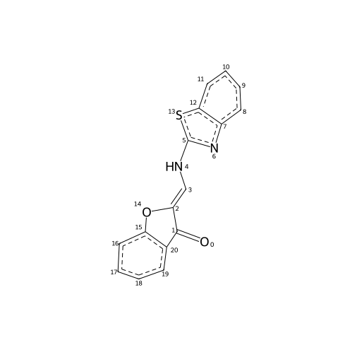 O=C1/C(=C/Nc2nc3ccccc3s2)Oc2ccccc21